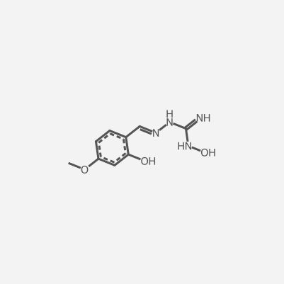 COc1ccc(/C=N/NC(=N)NO)c(O)c1